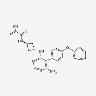 C=C(C#N)C(=O)N[C@H]1C[C@H](Nc2ncnc(N)c2-c2ccc(Oc3ccccc3)cc2)C1